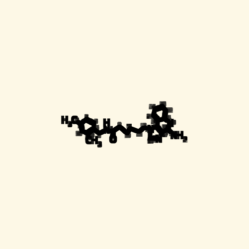 Cc1ccc(CNC(=O)CCCCCn2cnc3c(N)nc4ccccc4c32)c(C)c1